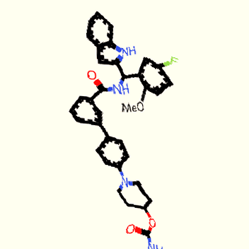 COc1ccc(F)cc1C(NC(=O)c1cccc(-c2ccc(N3CCC(OC(N)=O)CC3)cc2)c1)c1cc2ccccc2[nH]1